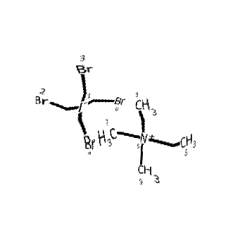 Br[I-](Br)(Br)Br.C[N+](C)(C)C